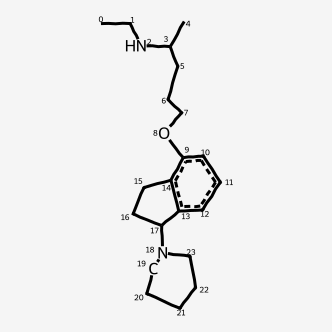 CCNC(C)CCCOc1cccc2c1CCC2N1CCCCC1